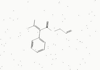 C=CCOC(=O)C(=C(N)CC)c1ccccc1